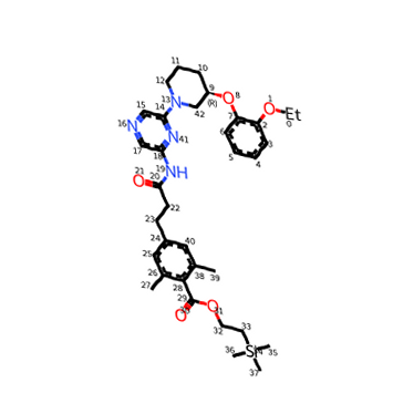 CCOc1ccccc1O[C@@H]1CCCN(c2cncc(NC(=O)CCc3cc(C)c(C(=O)OCC[Si](C)(C)C)c(C)c3)n2)C1